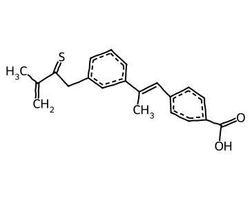 C=C(C)C(=S)Cc1cccc(/C(C)=C/c2ccc(C(=O)O)cc2)c1